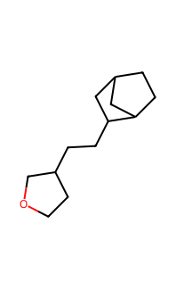 C1CC(CCC2CC3CCC2C3)CO1